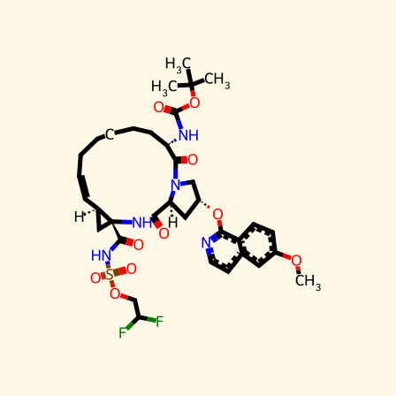 COc1ccc2c(O[C@@H]3C[C@H]4C(=O)N[C@]5(C(=O)NS(=O)(=O)OCC(F)F)C[C@H]5/C=C\CCCCC[C@H](NC(=O)OC(C)(C)C)C(=O)N4C3)nccc2c1